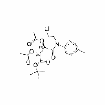 CC(=O)O[C@@H](C(=O)OC(C)(C)C)[C@@H](OC(C)=O)C(=O)N(CCCl)c1ccc(C)cc1